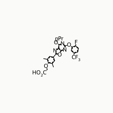 CCCOc1nc(Oc2cc(C(F)(F)F)ccc2F)nc2oc(-c3cc(C)c(OCC(=O)O)c(C)c3)nc12